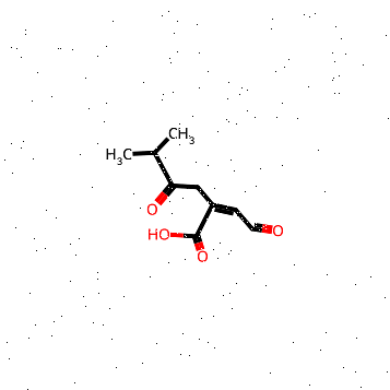 CC(C)C(=O)C/C(=C/C=O)C(=O)O